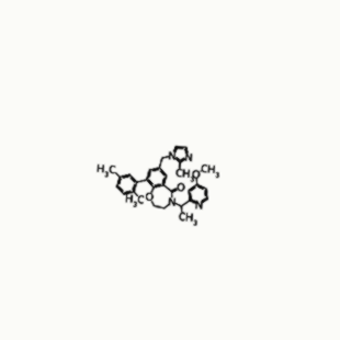 COc1ccnc(C(C)N2CCOc3c(cc(Cn4ccnc4C)cc3-c3cc(C)ccc3C)C2=O)c1